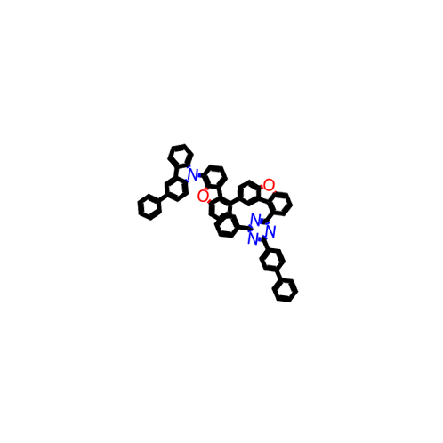 c1ccc(-c2ccc(-c3nc(-c4ccccc4)nc(-c4cccc5oc6ccc(-c7cccc8oc9c(-n%10c%11ccccc%11c%11cc(-c%12ccccc%12)ccc%11%10)cccc9c78)cc6c45)n3)cc2)cc1